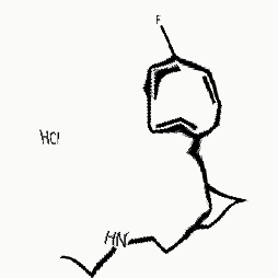 CCNCC1CC1c1ccc(F)cc1.Cl